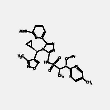 COc1cccc(-c2nnc(NS(=O)(=O)[C@@H](C)[C@@H](OC(C)C)c3ncc(C)cn3)n2[C@H](c2conc2C)C2CC2)n1